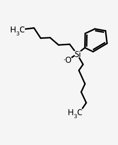 CCCCCC[Si]([O])(CCCCCC)c1ccccc1